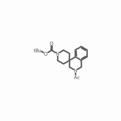 CC(=O)N1Cc2ccccc2C2(CCN(C(=O)OC(C)(C)C)CC2)C1